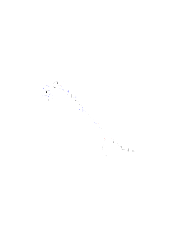 CCCCCCCCCCCCCCCC(=O)OC[C@H](CSC[C@H](N)C(=O)NCCCNCCCCNCCCNC(=O)CNC(=O)c1ccc(Cn2c(O)nc3c(N)nc(NCCCC)nc32)cc1)OC(=O)CCCCCCCCCCCCCCC